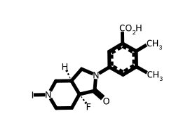 Cc1cc(N2C[C@@H]3CN(I)CC[C@]3(F)C2=O)cc(C(=O)O)c1C